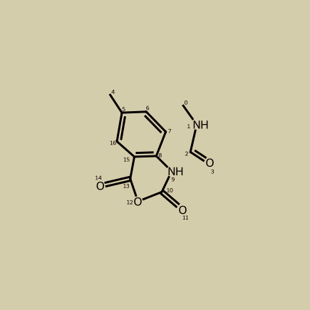 CNC=O.Cc1ccc2[nH]c(=O)oc(=O)c2c1